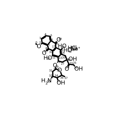 COc1cccc2c1C(=O)c1c(O)c3c(c(O)c1C2=O)C[C@@](O)(C(=O)CO)C[C@@H]3OC1CC(N)C(O)C(C)O1.Cl.[Na+].[OH-]